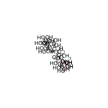 C[C@@]1(CC2OC(CO)C(O)C(OC3OC(CO)C(O)C(O)C3O)C2OC2OC(CO)C(O)C(O)C2O)CC[C@@H]2[C@]3(CCC4[C@](C)(C(=O)OC5OC(CO)C(O)C(OC6OC(CO)C(O)C(O)C6O)C5OC5OC(CO)C(O)C(O)C5O)CCC[C@]42C)C[C@@]13C